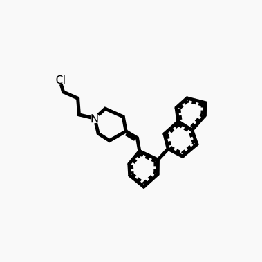 ClCCCN1CCC(=Cc2ccccc2-c2ccc3ccccc3c2)CC1